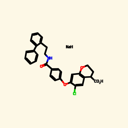 O=C(NCCc1ccccc1-c1ccccc1)c1ccc(Oc2cc3c(cc2Cl)C(C(=O)O)CCO3)cc1.[NaH]